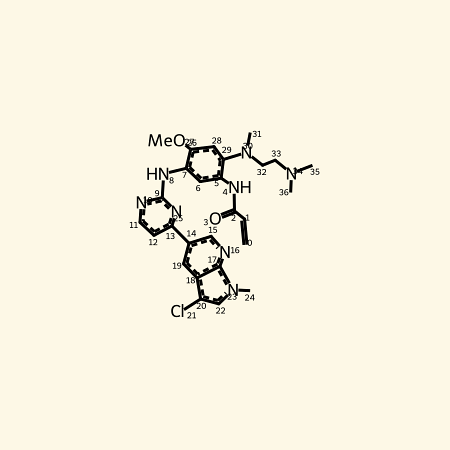 C=CC(=O)Nc1cc(Nc2nccc(-c3cnc4c(c3)c(Cl)cn4C)n2)c(OC)cc1N(C)CCN(C)C